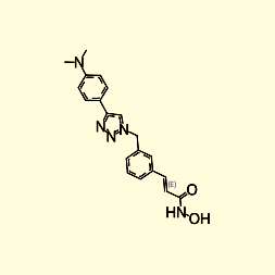 CN(C)c1ccc(-c2cn(Cc3cccc(/C=C/C(=O)NO)c3)nn2)cc1